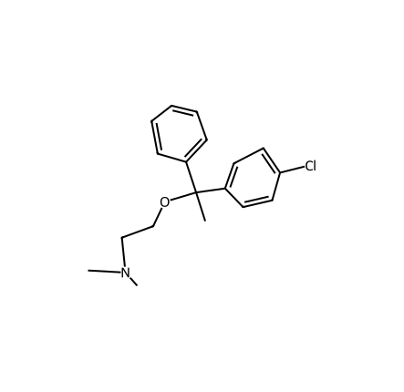 CN(C)CCOC(C)(c1ccccc1)c1ccc(Cl)cc1